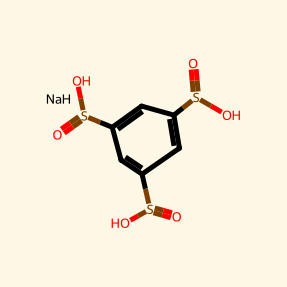 O=S(O)c1cc(S(=O)O)cc(S(=O)O)c1.[NaH]